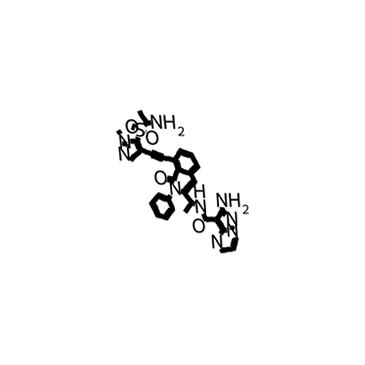 CC(NC(=O)c1c(N)nn2cccnc12)c1cc2cccc(C#Cc3cnn(C)c3S(=O)(=O)C(C)N)c2c(=O)n1-c1ccccc1